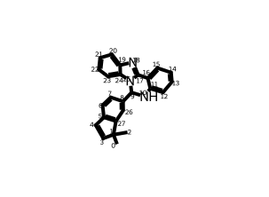 CC1(C)C=Cc2ccc(C3Nc4ccccc4-c4nc5ccccc5n43)cc21